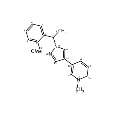 COc1ccccc1C(C)n1cc(C2=CN(C)CC=C2)cn1